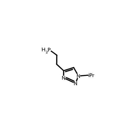 CC(C)n1cc(CCP)nn1